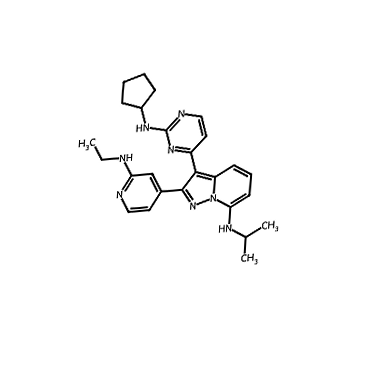 CCNc1cc(-c2nn3c(NC(C)C)cccc3c2-c2ccnc(NC3CCCC3)n2)ccn1